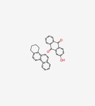 O=C1c2ccccc2C(=O)c2cc(O)ccc21.c1ccc2c(c1)ccc1c3c(ccc12)CCCC3